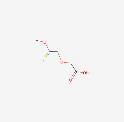 COC(=S)COCC(=O)O